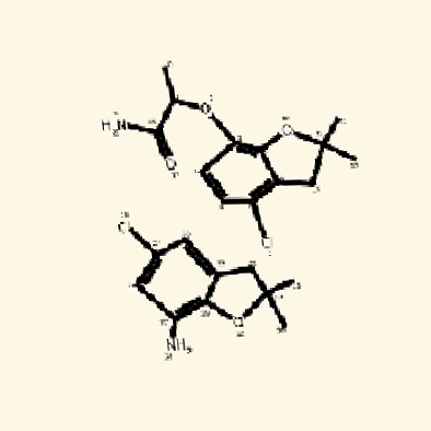 CC(Oc1ccc(Cl)c2c1OC(C)(C)C2)C(N)=O.CC1(C)Cc2cc(Cl)cc(N)c2O1